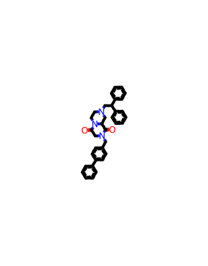 O=C1C2CN(CC(c3ccccc3)c3ccccc3)CCN2C(=O)CN1Cc1ccc(-c2ccccc2)cc1